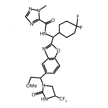 COCC(c1ccc2oc(C(NC(=O)c3ncnn3C)C3CCC(F)(F)CC3)nc2c1)N1CC(C(F)(F)F)NC1=O